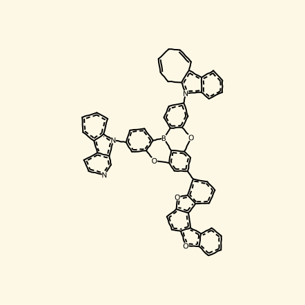 C1=C\Cc2c(c3ccccc3n2-c2ccc3c(c2)Oc2cc(-c4cccc5c4oc4ccc6oc7ccccc7c6c45)cc4c2B3c2ccc(-n3c5ccccc5c5ccncc53)cc2O4)/C=C\C/1